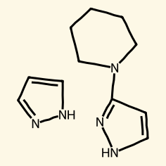 c1cc(N2CCCCC2)n[nH]1.c1cn[nH]c1